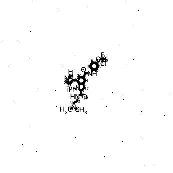 CC(C)N1c2c(cc(C(=O)Nc3ccc(OC(F)(F)Cl)cc3)cc2-c2ccn[nH]2)CC1C(=O)NCCN(C)C